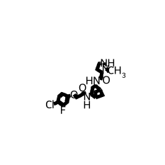 CN1NCCC1C(=O)NC1CC(NC(=O)COc2ccc(Cl)c(F)c2)C2CC1C2